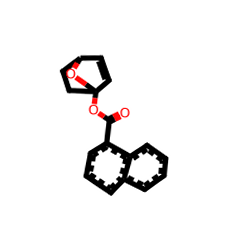 O=C(OC12C=CC(CC1)O2)c1cccc2ccccc12